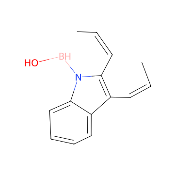 C/C=C\c1c(/C=C\C)n(BO)c2ccccc12